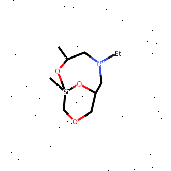 CCN1CC(C)O[Si]2(C)COCC(C1)O2